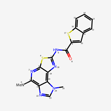 CNc1nc2sc(NC(=O)c3cc4ccccc4s3)nc2c2c1ncn2C